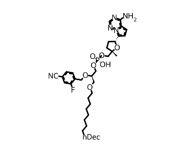 CCCCCCCCCCCCCCCCCCOC[C@H](COP(=O)(O)OC[C@]1(C)CC[C@H](c2ccc3c(N)ncnn23)O1)OCc1ccc(C#N)cc1F